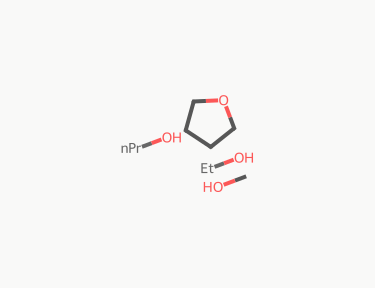 C1CCOC1.CCCO.CCO.CO